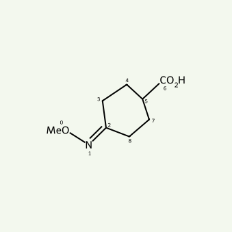 CON=C1CCC(C(=O)O)CC1